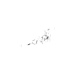 CC#Cc1ccc(N2CC(CC(C)(C(=O)OCC)S(C)(=O)=O)OC2=O)cc1